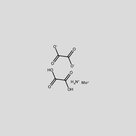 O=C(O)C(=O)O.O=C([O-])C(=O)[O-].[Mo+].[NH4+]